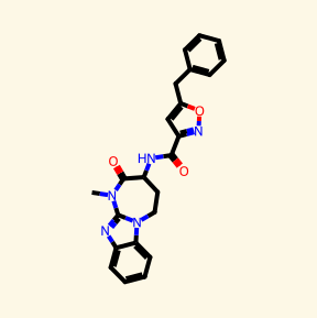 CN1C(=O)C(NC(=O)c2cc(Cc3ccccc3)on2)CCn2c1nc1ccccc12